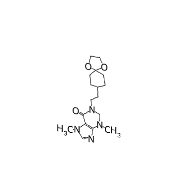 CN1CN(CCC2CCC3(CC2)OCCO3)C(=O)c2c1ncn2C